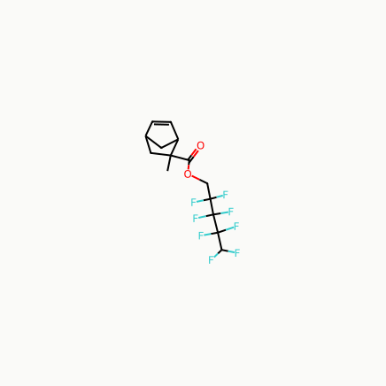 CC1(C(=O)OCC(F)(F)C(F)(F)C(F)(F)C(F)F)CC2C=CC1C2